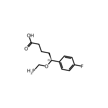 O=C(O)CCC[C@H](OCP)c1ccc(F)cc1